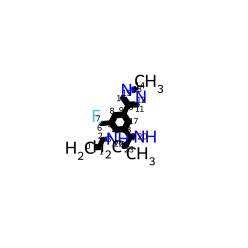 C=CCNc1c(CF)cc(-c2cnc(C)nc2)cc1C(=N)C(=C)C